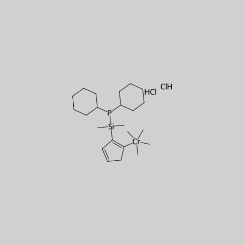 C[Si](C)(C1=[C]([Cr]([CH3])([CH3])([CH3])[CH3])CC=C1)P(C1CCCCC1)C1CCCCC1.Cl.Cl